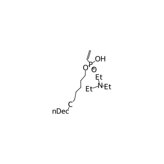 C=CP(=O)(O)OCCCCCCCCCCCCCCCC.CCN(CC)CC